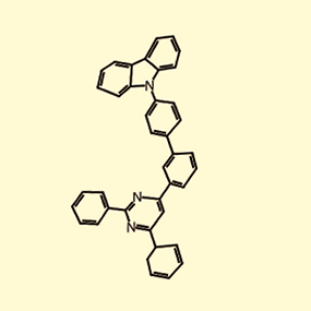 C1=CCC(c2cc(-c3cccc(-c4ccc(-n5c6ccccc6c6ccccc65)cc4)c3)nc(-c3ccccc3)n2)C=C1